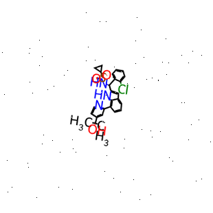 CC(C)(O)c1ccnc(-c2cccc3cc(C(NS(=O)(=O)C4CC4)c4ccccc4Cl)[nH]c23)c1